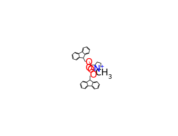 C[N+]1(C(=O)OCC2c3ccccc3-c3ccccc32)CCCC1C(=O)OCC1c2ccccc2-c2ccccc21